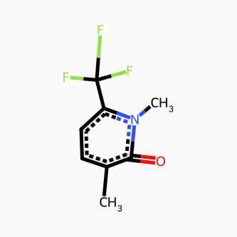 Cc1ccc(C(F)(F)F)n(C)c1=O